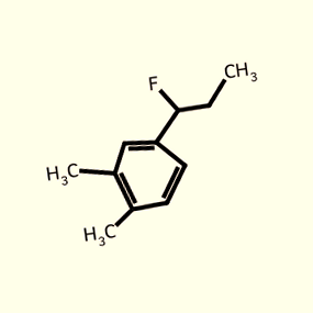 CCC(F)c1ccc(C)c(C)c1